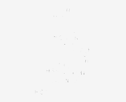 CC(=O)c1ccc2c(c1)C(C)(C)C1=[N+]2CC[C@H]2O[C@H]3C[C@H]4CCN5C(=C4C=C3C=C12)C(C)(C)c1cc(C)ccc15